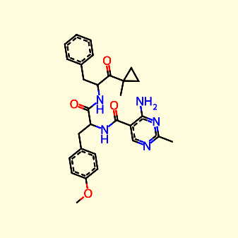 COc1ccc(CC(NC(=O)c2cnc(C)nc2N)C(=O)NC(Cc2ccccc2)C(=O)C2(C)CC2)cc1